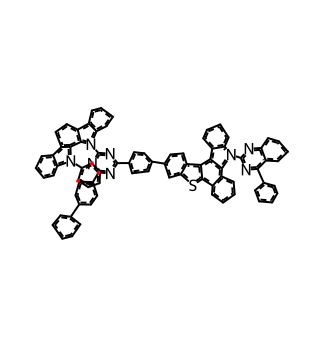 c1ccc(-c2ccc(-c3nc(-c4ccc(-c5ccc6c(c5)sc5c7ccccc7c7c(c8ccccc8n7-c7nc(-c8ccccc8)c8ccccc8n7)c65)cc4)nc(-n4c5ccccc5c5ccc6c7ccccc7n(-c7ccccc7)c6c54)n3)cc2)cc1